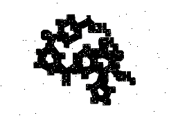 CCN1CCN(C(=O)c2cccc(Nc3cc4c(cn3)N(C)C(=O)C(C)N4C3CCCC3)c2)CC1